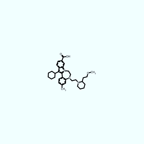 COCCC1CCCCN1CCN1CCn2c(c(C3CCCCC3)c3ccc(C(=O)O)cc32)-c2ccc(C)cc21